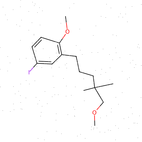 COCC(C)(C)CCCc1cc(I)ccc1OC